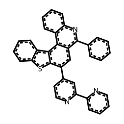 c1ccc(-c2nc3ccccc3c3c2cc(-c2ccnc(-c4ccccn4)c2)c2sc4ccccc4c23)cc1